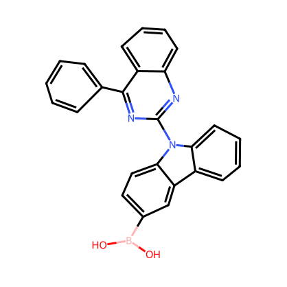 OB(O)c1ccc2c(c1)c1ccccc1n2-c1nc(-c2ccccc2)c2ccccc2n1